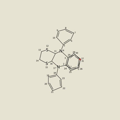 c1ccc(N(c2ccccc2)C2SCCSC2N(c2ccccc2)c2ccccc2)cc1